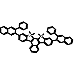 C[Si]1(C)c2cc(-c3cc4ccccc4cc3-c3ccccc3)ccc2-c2c1c1c(c3ccccc23)-c2ccc(-c3cc4ccccc4cc3-c3ccccc3)cc2[Si]1(C)C